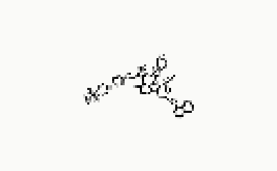 CCOC(=O)c1c(CCCOc2cccc3ccccc23)c2ccc(C)c(-c3c(COc4ccc(N5CCN(S(=O)(=O)N(C)C)CC5)cc4)nn(C)c3CO)c2n1CCN1CCOCC1